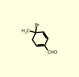 CC1(Br)C=CC(C=O)=CC1